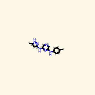 Cc1ccc(Nc2cncc(Nc3cc(C)[nH]n3)n2)cc1